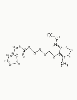 CON=C1CCCC(C)=C1CCCCCCc1ccc2ccccc2c1